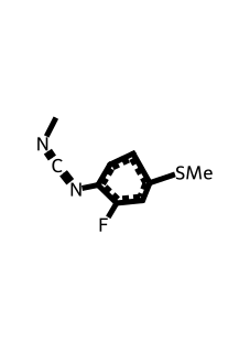 CN=C=Nc1ccc(SC)cc1F